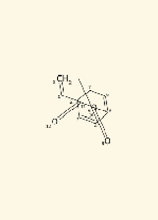 C=CC12C=CC(=CC1)C(=O)OC2=O